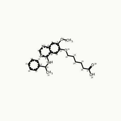 COc1cc2ncnc(NC(C)c3ccccc3)c2cc1OCCCCCC(=O)O